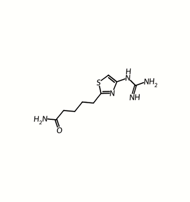 N=C(N)Nc1csc(CCCCC(N)=O)n1